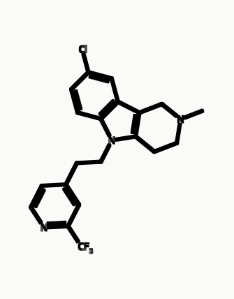 CN1CCc2c(c3cc(Cl)ccc3n2CCc2ccnc(C(F)(F)F)c2)C1